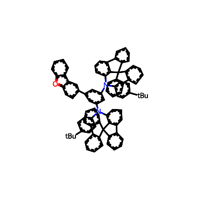 CC(C)(C)c1ccc(N(c2cc(-c3ccc4oc5ccccc5c4c3)cc(N(c3ccc(C(C)(C)C)cc3)c3cccc4c3C3(c5ccccc5-c5ccccc53)c3ccccc3-4)c2)c2cccc3c2C2(c4ccccc4-c4ccccc42)c2ccccc2-3)cc1